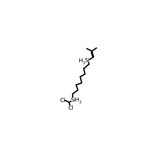 CC(C)=C[SiH2]CCCCCCCC[SiH2]C(Cl)Cl